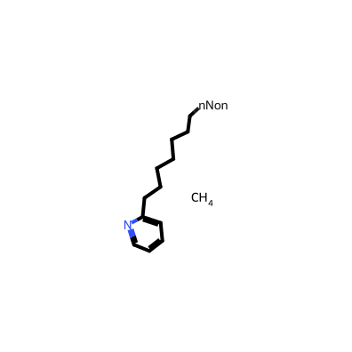 C.CCCCCCCCCCCCCCCCc1ccccn1